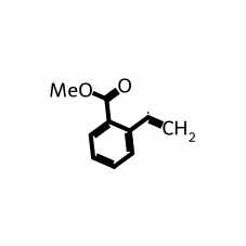 C=[C]c1ccccc1C(=O)OC